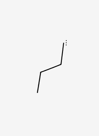 [C]CCC